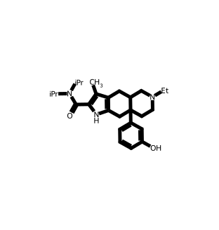 CCN1CCC2(c3cccc(O)c3)Cc3[nH]c(C(=O)N(C(C)C)C(C)C)c(C)c3CC2C1